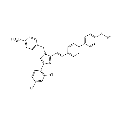 CC(C)Sc1ccc(-c2ccc(C=Cc3nc(-c4ccc(Cl)cc4Cl)cn3Cc3ccc(C(=O)O)cc3)cc2)cc1